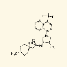 CC1CCC(C)(CC(=O)N[C@H]2CN(c3ccc(C(F)(F)F)c4ncccc34)C[C@H]2C)CC1